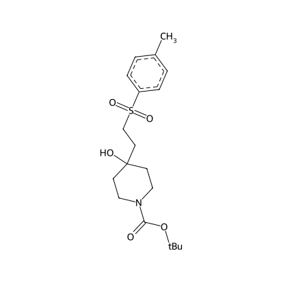 Cc1ccc(S(=O)(=O)CCC2(O)CCN(C(=O)OC(C)(C)C)CC2)cc1